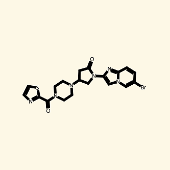 O=C(c1nccs1)N1CCN(C2CC(=O)N(c3cn4cc(Br)ccc4n3)C2)CC1